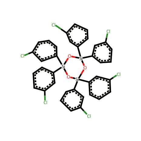 Clc1cccc([Si]2(c3cccc(Cl)c3)O[Si](c3cccc(Cl)c3)(c3cccc(Cl)c3)O[Si](c3cccc(Cl)c3)(c3cccc(Cl)c3)O2)c1